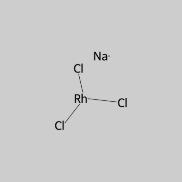 [Cl][Rh]([Cl])[Cl].[Na]